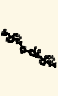 CCc1c(NSC2CC2c2cncc(-c3ccc(C(=O)NCc4nccc(NSC5CC5)c4OC)c(F)c3)n2)ccnc1CNC